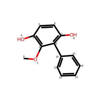 COc1c(O)ccc(O)c1-c1ccccc1